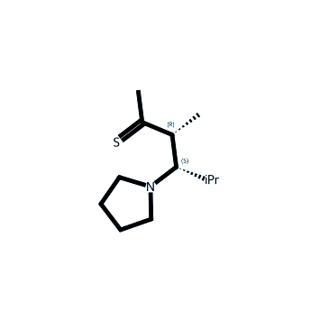 CC(=S)[C@H](C)[C@H](C(C)C)N1CCCC1